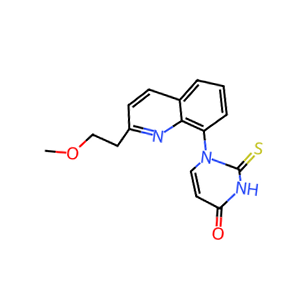 COCCc1ccc2cccc(-n3ccc(=O)[nH]c3=S)c2n1